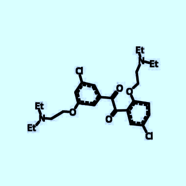 CCN(CC)CCOc1cc(Cl)cc(C(=O)C(=O)c2cc(Cl)ccc2OCCN(CC)CC)c1